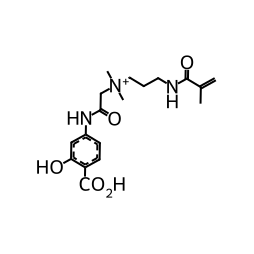 C=C(C)C(=O)NCCC[N+](C)(C)CC(=O)Nc1ccc(C(=O)O)c(O)c1